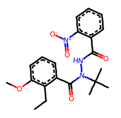 CCc1c(OC)cccc1C(=O)N(NC(=O)c1ccccc1[N+](=O)[O-])C(C)(C)C